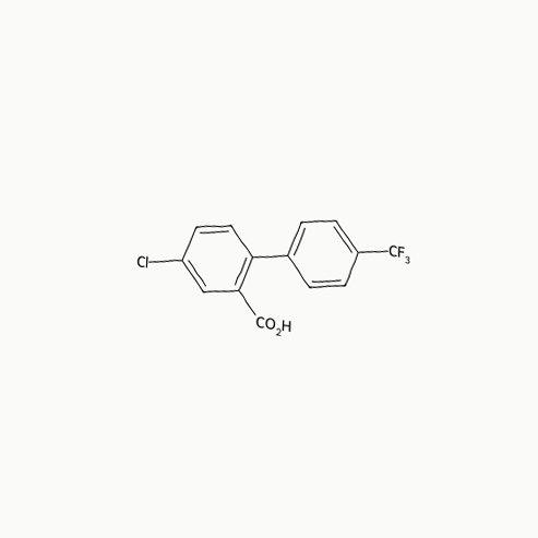 O=C(O)c1cc(Cl)ccc1-c1ccc(C(F)(F)F)cc1